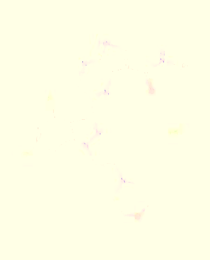 CC(C)NC(=O)c1c[nH]c2ncc(-c3nn(CCN4CCOCC4)c4cc(Cl)cc(F)c34)nc12.Cl